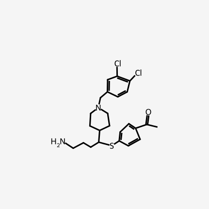 CC(=O)c1ccc(SC(CCCN)C2CCN(Cc3ccc(Cl)c(Cl)c3)CC2)cc1